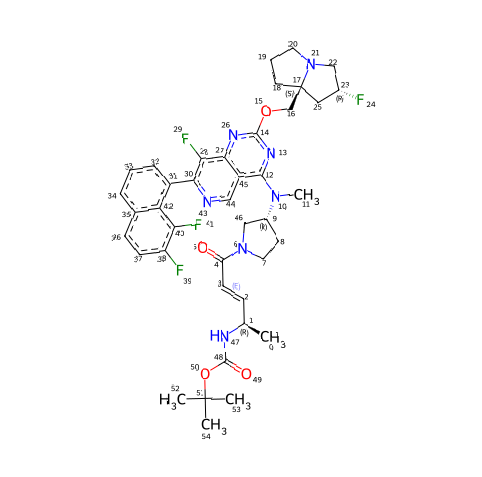 C[C@H](/C=C/C(=O)N1CC[C@@H](N(C)c2nc(OC[C@@]34CCCN3C[C@H](F)C4)nc3c(F)c(-c4cccc5ccc(F)c(F)c45)ncc23)C1)NC(=O)OC(C)(C)C